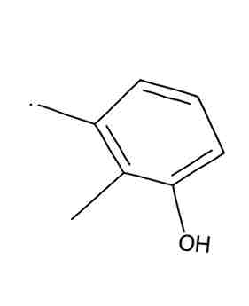 [CH2]c1cccc(O)c1C